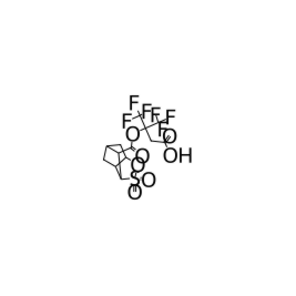 O=C(O)CC(OC(=O)C1C2CC3OS(=O)(=O)C1C3C2)(C(F)(F)F)C(F)(F)F